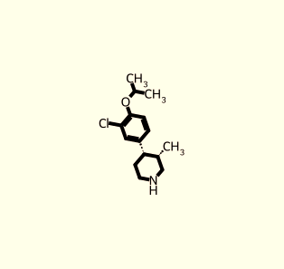 CC(C)Oc1ccc([C@H]2CCNC[C@H]2C)cc1Cl